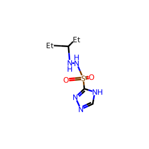 CCC(CC)NNS(=O)(=O)c1nnc[nH]1